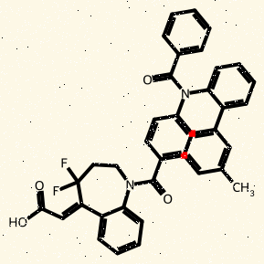 Cc1cccc(-c2ccccc2N(C(=O)c2ccccc2)c2ccc(C(=O)N3CCC(F)(F)/C(=C\C(=O)O)c4ccccc43)cc2)c1